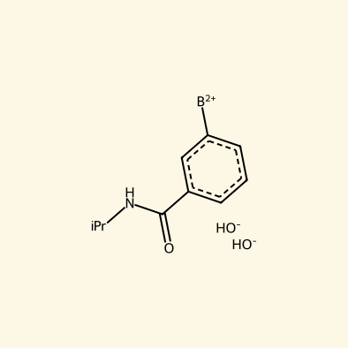 [B+2]c1cccc(C(=O)NC(C)C)c1.[OH-].[OH-]